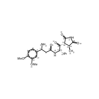 COc1ccc(C(N)CC(=O)N[C@H](C(=O)[C@@H]2C(=O)NC(=O)[C@H]2C)C(C)C)cc1OC